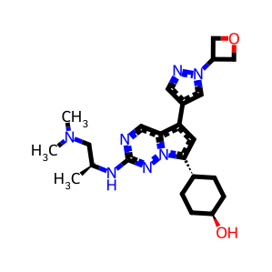 C[C@@H](CN(C)C)Nc1ncc2c(-c3cnn(C4COC4)c3)cc([C@H]3CC[C@H](O)CC3)n2n1